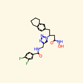 O=C(CC(Cc1ccc2c(c1)CCCC2)n1cc(CNC(=O)c2ccc(F)c(F)c2)nn1)NO